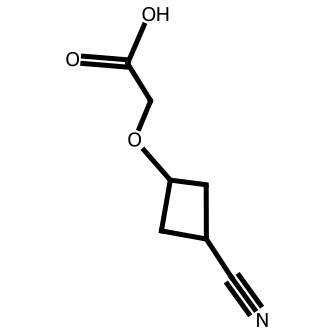 N#CC1CC(OCC(=O)O)C1